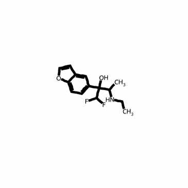 CCNC(C)C(O)(c1ccc2occc2c1)C(F)F